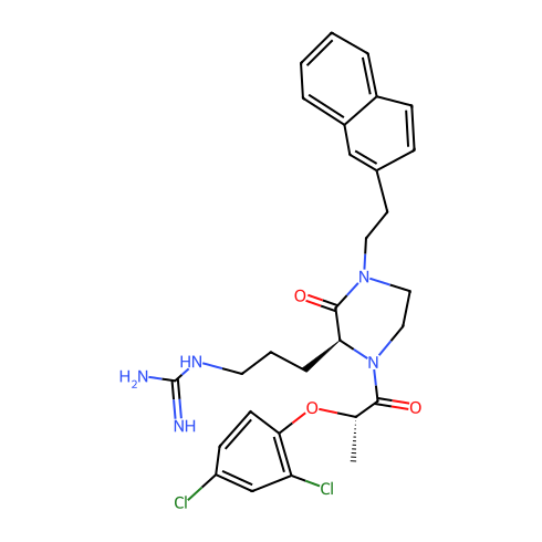 C[C@H](Oc1ccc(Cl)cc1Cl)C(=O)N1CCN(CCc2ccc3ccccc3c2)C(=O)[C@@H]1CCCNC(=N)N